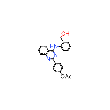 CC(=O)Oc1ccc(-c2nc(Nc3ccccc3CO)c3ccccc3n2)cc1